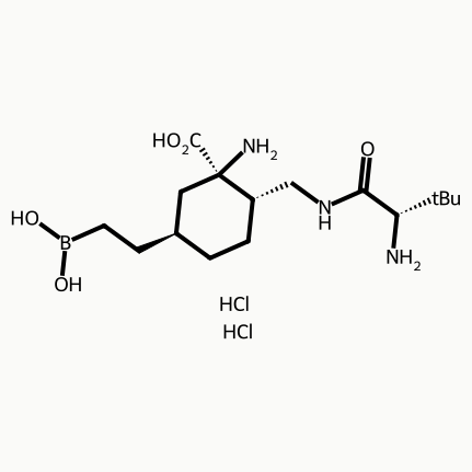 CC(C)(C)[C@H](N)C(=O)NC[C@@H]1CC[C@@H](CCB(O)O)C[C@]1(N)C(=O)O.Cl.Cl